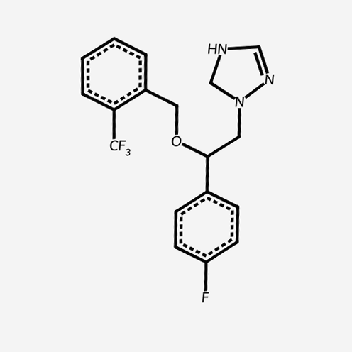 Fc1ccc(C(CN2CNC=N2)OCc2ccccc2C(F)(F)F)cc1